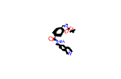 CN(C[C@H]1CC[C@H](C(=O)NCc2ccc3cnccc3c2)CC1)C(=O)OC(C)(C)C